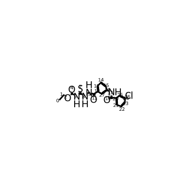 CCOC(=O)NC(=S)NNC(=O)c1cccc(NC(=O)c2cccc(Cl)c2)c1